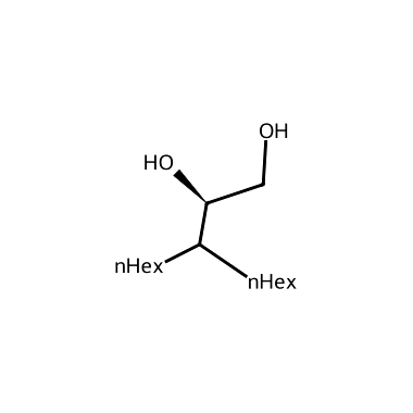 CCCCCCC(CCCCCC)[C@@H](O)CO